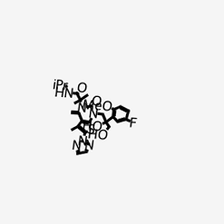 C=C1c2c(sc(-n3nccn3)c2C)N(CC(O)(CO)c2cc(F)ccc2OC)C(=O)N1C(C)(C)C(=O)NC(C)C